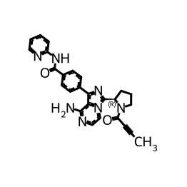 CC#CC(=O)N1CCC[C@@H]1c1nc(-c2ccc(C(=O)Nc3ccccn3)cc2)c2c(N)nccn12